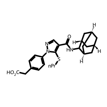 CCCSc1c(C(=O)NC2[C@H]3C[C@@H]4C[C@@H](C[C@H]2C4)C3)cnn1-c1ccc(CC(=O)O)cc1